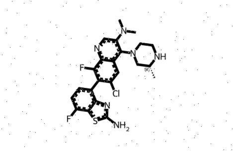 C[C@@H]1CN(c2c(N(C)C)cnc3c(F)c(-c4ccc(F)c5sc(N)nc45)c(Cl)cc23)CCN1